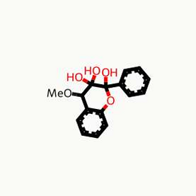 COC1c2ccccc2OC(O)(c2ccccc2)C1(O)O